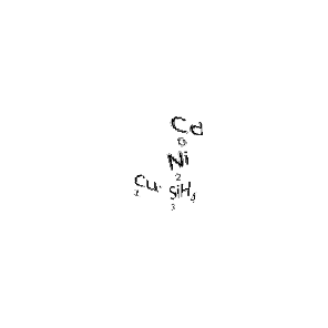 [Cd].[Cu].[Ni].[SiH4]